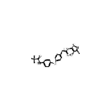 Cc1nsc(NC(=O)Cc2ccc(Oc3ccc(NC(=O)C(C)(C)C)cc3)cc2)c1Cl